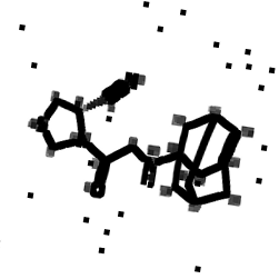 N#C[C@H]1CSCN1C(=O)CNC12CC3=CC(CC(C3)C1)C2